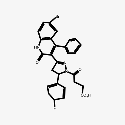 O=C(O)CCC(=O)N1N=C(c2c(-c3ccccc3)c3cc(Br)ccc3[nH]c2=O)CC1C1=CCC(F)C=C1